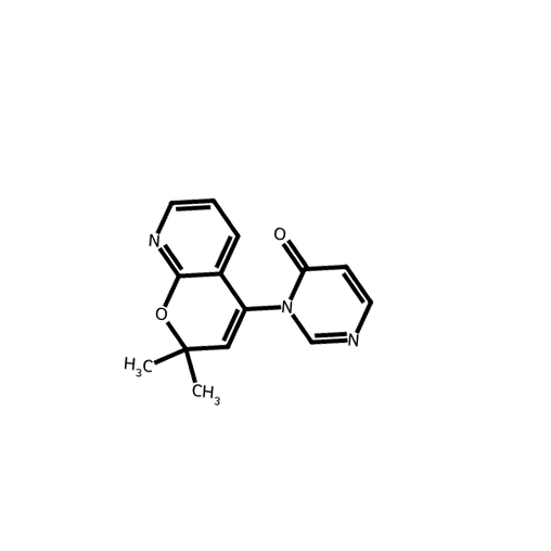 CC1(C)C=C(n2cnccc2=O)c2cccnc2O1